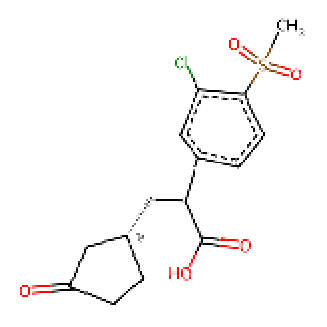 CS(=O)(=O)c1ccc(C(C[C@@H]2CCC(=O)C2)C(=O)O)cc1Cl